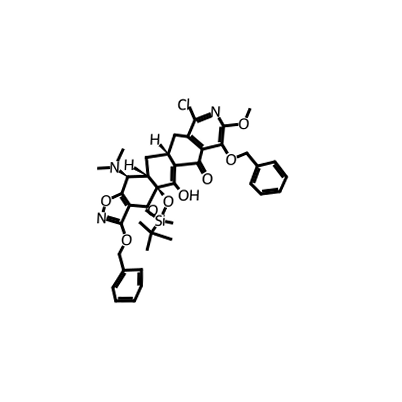 COc1nc(Cl)c2c(c1OCc1ccccc1)C(=O)C1=C(O)[C@]3(O[Si](C)(C)C(C)(C)C)C(=O)c4c(OCc5ccccc5)noc4[C@@H](N(C)C)[C@@H]3C[C@@H]1C2